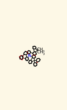 CC1(C)c2ccccc2-c2c(-c3ccccc3N(c3cccc(-c4ccccc4)c3-c3ccccc3-c3ccccc3)c3cccc4c3-c3ccccc3C4(c3ccccc3)c3ccccc3)cccc21